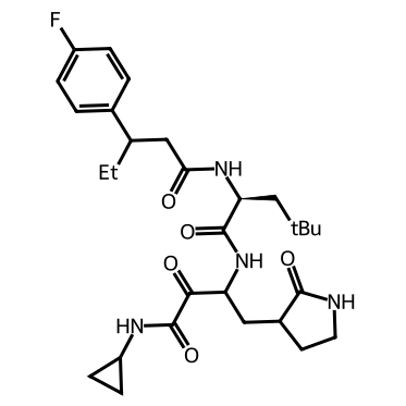 CCC(CC(=O)N[C@@H](CC(C)(C)C)C(=O)NC(CC1CCNC1=O)C(=O)C(=O)NC1CC1)c1ccc(F)cc1